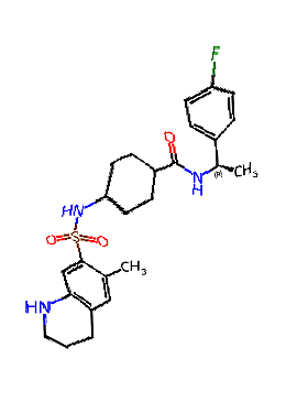 Cc1cc2c(cc1S(=O)(=O)NC1CCC(C(=O)N[C@H](C)c3ccc(F)cc3)CC1)NCCC2